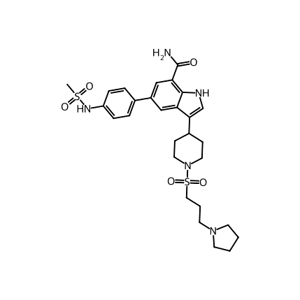 CS(=O)(=O)Nc1ccc(-c2cc(C(N)=O)c3[nH]cc(C4CCN(S(=O)(=O)CCCN5CCCC5)CC4)c3c2)cc1